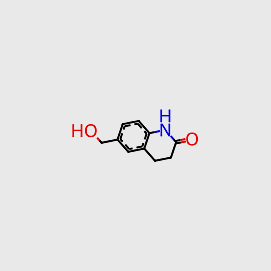 O=C1CCc2cc(CO)ccc2N1